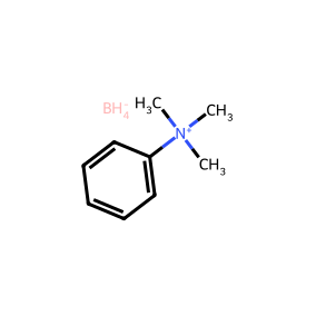 C[N+](C)(C)c1ccccc1.[BH4-]